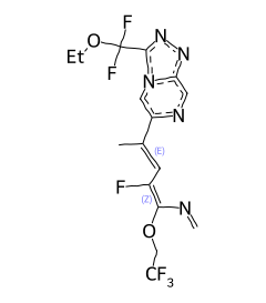 C=N/C(OCC(F)(F)F)=C(F)\C=C(/C)c1cn2c(C(F)(F)OCC)nnc2cn1